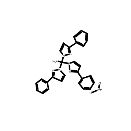 CC(n1ccc(-c2ccccc2)n1)(n1ccc(-c2ccccc2)n1)n1ccc(-c2ccccc2)n1.[Cl][Mn][Cl]